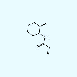 C=CC(=O)N[C@@H]1CCCC[C@H]1C